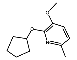 COc1ccc(C)nc1OC1CCCC1